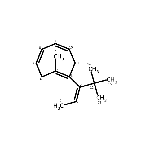 C/C=C(\C1=C(\C)C/C=C\C=C/C1)C(C)(C)C